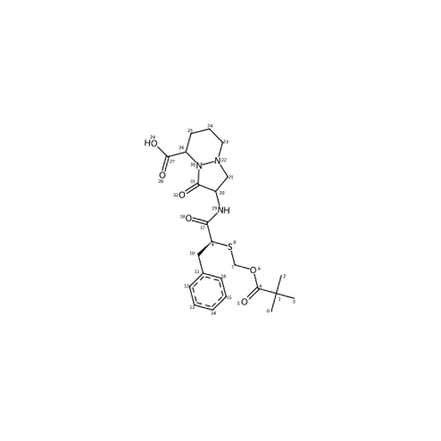 CC(C)(C)C(=O)OCS[C@@H](Cc1ccccc1)C(=O)NC1CN2CCCC(C(=O)O)N2C1=O